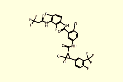 O=C(CC(F)(F)F)Nc1c(F)ccc(NC(=O)c2cc(NC(=O)[C@H]3C(c4ccc(F)c(C(F)(F)F)c4)C3(Cl)Cl)ccc2Cl)c1F